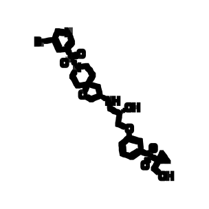 O=S(=O)(c1cncc(Br)c1)N1CCC2(CC1)C[C@@H](NC[C@H](O)COc1cccc(S(=O)(=O)C3(CO)CC3)c1)CO2